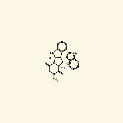 CN1CC(=O)N2[C@H](C1=O)[C@@H](O)[C@]1(c3c[nH]c4ccccc34)c3ccccc3N[C@H]21